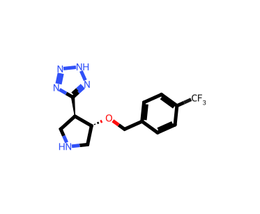 FC(F)(F)c1ccc(CO[C@@H]2CNC[C@H]2c2nn[nH]n2)cc1